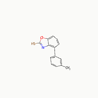 Cc1cccc(-c2cccc3oc(S)nc23)c1